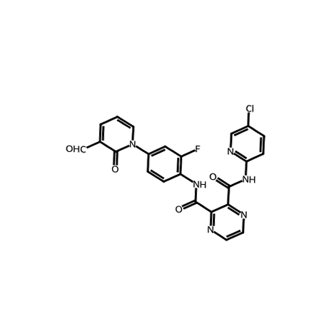 O=Cc1cccn(-c2ccc(NC(=O)c3nccnc3C(=O)Nc3ccc(Cl)cn3)c(F)c2)c1=O